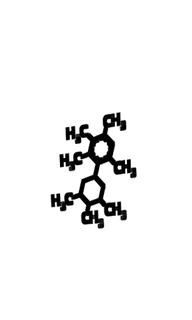 Cc1cc(C)c(C2CC(C)C(C)C(C)C2)c(C)c1C